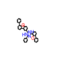 c1ccc(C2=NC(c3cccc4c3oc3ccccc34)NC(c3ccc4oc5c(-c6ccccc6)cccc5c4c3)N2)cc1